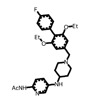 CCOc1cc(CN2CCC(Nc3ccc(NC(C)=O)nc3)CC2)cc(OCC)c1-c1ccc(F)cc1